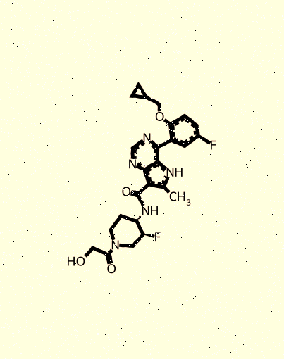 Cc1[nH]c2c(-c3cc(F)ccc3OCC3CC3)ncnc2c1C(=O)N[C@H]1CCN(C(=O)CO)C[C@@H]1F